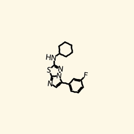 Fc1cccc(-c2cnc3sc(NC4CCCCC4)nn23)c1